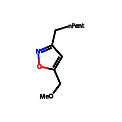 [CH2]OCc1cc(CCCCCC)no1